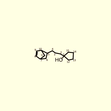 OC1(CCCC2CC3C=CC2C3)CCCC1